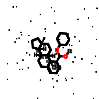 CCOC(OC1CCCCC1)[C@H]1CCC=C2CC[C@H]3[C@@H]4CCC[C@@]4(C)CC[C@@H]3[C@]21C=O